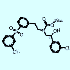 CC(C)(C)OC(=O)N(CCc1cccc(S(=O)(=O)c2cccc(O)c2)c1)C[C@@H](O)c1cccc(Cl)c1